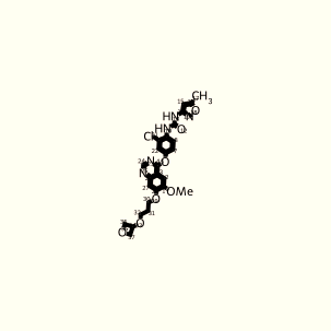 COc1cc2c(Oc3ccc(NC(=O)Nc4cc(C)on4)c(Cl)c3)ncnc2cc1OCCCOC1COC1